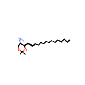 CCCCCCCCCCCCC/C=C/C1OC(C)(C)OCC1N